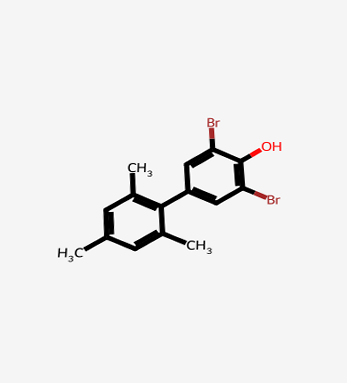 Cc1cc(C)c(-c2cc(Br)c(O)c(Br)c2)c(C)c1